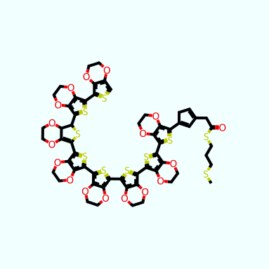 CSCCCSC(=O)CC1=CCC(c2sc(-c3sc(-c4sc(-c5sc(-c6sc(C7=C8OCCOC8C(c8sc(-c9scc%10c9OCCO%10)c9c8OCCO9)S7)c7c6OCCO7)c6c5OCCO6)c5c4OCCO5)c4c3OCCO4)c3c2OCCO3)=C1